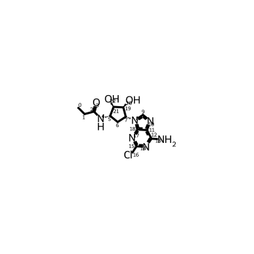 CCC(=O)N[C@H]1C[C@@H](n2cnc3c(N)nc(Cl)nc32)[C@H](O)[C@@H]1O